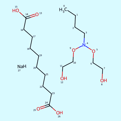 CCCCN(OCCO)OCCO.O=C(O)CCCCCCCCC(=O)O.[NaH]